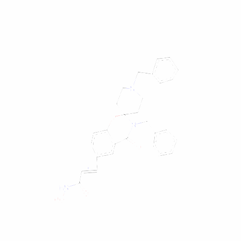 O=C(/C=C/c1ccc2c(c1)C(=O)N(Cc1ccccc1)C1(CCN(Cc3ccccc3)CC1)O2)NO